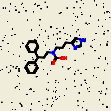 O=C(O)N(CCCc1c[nH]cn1)CCC(c1ccccc1)c1ccccc1